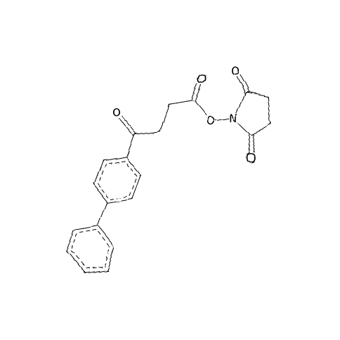 O=C(CCC(=O)c1ccc(-c2ccccc2)cc1)ON1C(=O)CCC1=O